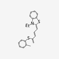 C=C(/C=C/C=C1/Sc2ccccc2N1CC)Sc1ccccc1C